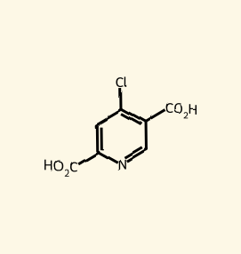 O=C(O)c1cc(Cl)c(C(=O)O)cn1